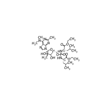 CCOC(=O)[C@H](CC(C)C)NP(=O)(N[C@@H](CC(C)C)C(=O)OCC)OC[C@H]1O[C@@H](n2cnc3c(N(C)C)nc(C)nc32)[C@@](C)(O)C1O